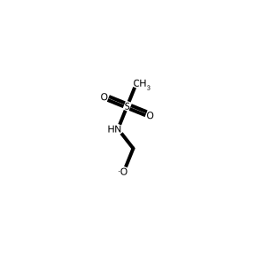 CS(=O)(=O)NC[O]